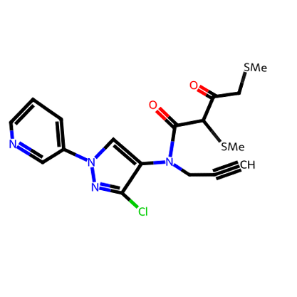 C#CCN(C(=O)C(SC)C(=O)CSC)c1cn(-c2cccnc2)nc1Cl